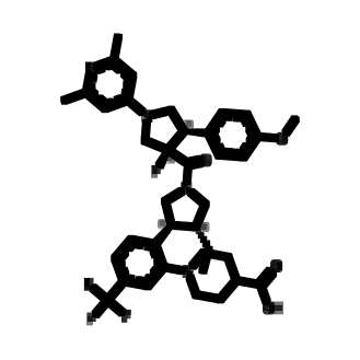 CC[C@H]1CN(C(=O)[C@]2(F)CN(c3cc(C)nc(C)c3)C[C@H]2c2ccc(OC)cc2)C[C@@H]1c1ccc(C(F)(F)F)cc1N1CCC(C(=O)O)CC1